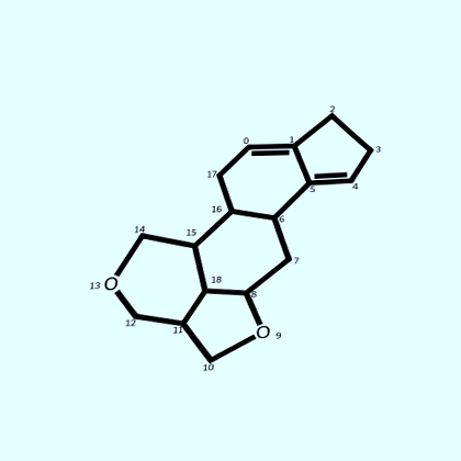 C1=C2CCC=C2C2CC3OCC4COCC(C2C1)C43